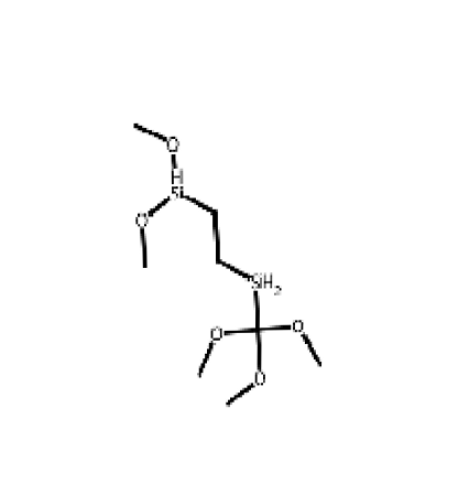 CO[SiH](CC[SiH2]C(OC)(OC)OC)OC